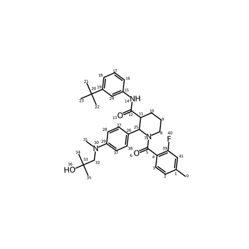 Cc1ccc(C(=O)N2CCCC(C(=O)Nc3cccc(C(C)(C)C)c3)C2c2ccc(N(C)CC(C)(C)O)cc2)c(F)c1